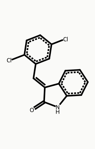 O=C1Nc2ccccc2/C1=C\c1cc(Cl)ccc1Cl